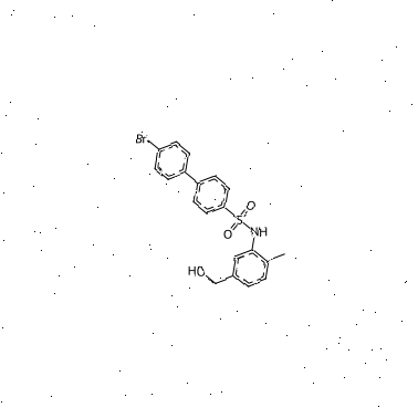 Cc1ccc(CO)cc1NS(=O)(=O)c1ccc(-c2ccc(Br)cc2)cc1